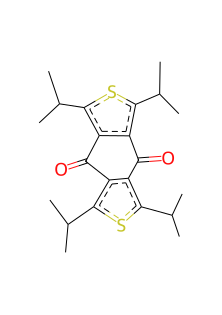 CC(C)c1sc(C(C)C)c2c1C(=O)c1c(C(C)C)sc(C(C)C)c1C2=O